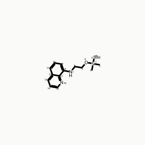 CC(C)(C)[Si](C)(C)OCCNc1cccc2cccnc12